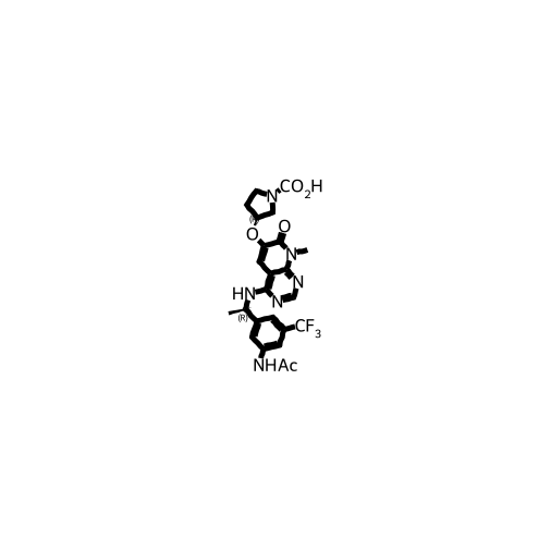 CC(=O)Nc1cc([C@@H](C)Nc2ncnc3c2cc(O[C@@H]2CCN(C(=O)O)C2)c(=O)n3C)cc(C(F)(F)F)c1